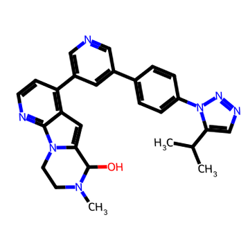 CC(C)c1cnnn1-c1ccc(-c2cncc(-c3ccnc4c3cc3n4CCN(C)C3O)c2)cc1